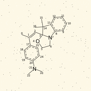 CC(=CC12OCCN1c1ccccc1C2(C)C)c1ccc(N(C)C)cc1